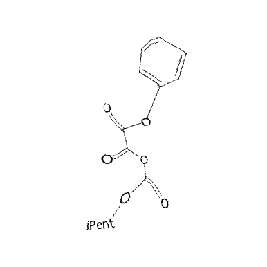 CCCC(C)OC(=O)OC(=O)C(=O)Oc1ccccc1